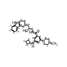 CN1CCN(c2cc(C(=O)NCC(O)CN3CCc4[nH]c5ccccc5c4C3)cc(NC3CCC3)n2)CC1